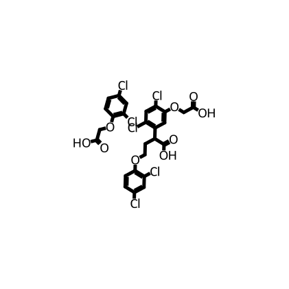 O=C(O)COc1cc(C(CCOc2ccc(Cl)cc2Cl)C(=O)O)c(Cl)cc1Cl.O=C(O)COc1ccc(Cl)cc1Cl